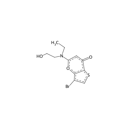 CCN(CCO)c1cc(=O)c2scc(Br)c2o1